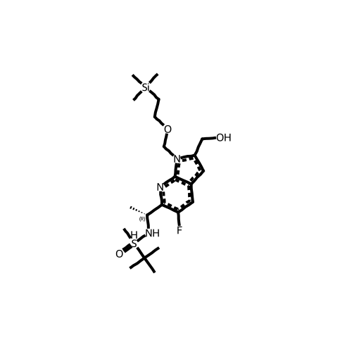 C[C@@H](N[SH](C)(=O)C(C)(C)C)c1nc2c(cc1F)cc(CO)n2COCC[Si](C)(C)C